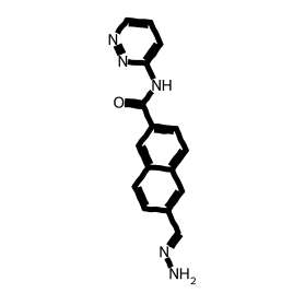 NN=Cc1ccc2cc(C(=O)Nc3cccnn3)ccc2c1